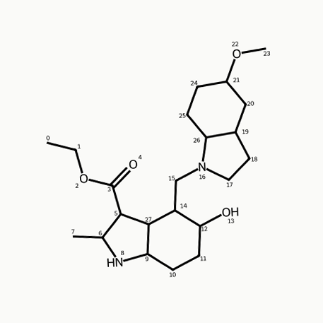 CCOC(=O)C1C(C)NC2CCC(O)C(CN3CCC4CC(OC)CCC43)C21